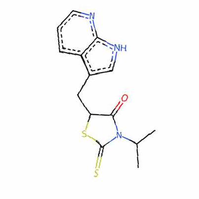 CC(C)N1C(=O)C(Cc2c[nH]c3ncccc23)SC1=S